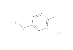 COc1cc(CN)ccc1Br